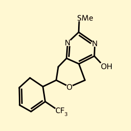 CSc1nc(O)c2c(n1)CC(C1CC=CC=C1C(F)(F)F)OC2